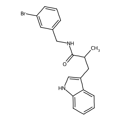 CC(Cc1c[nH]c2ccccc12)C(=O)NCc1cccc(Br)c1